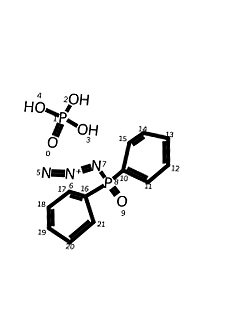 O=P(O)(O)O.[N-]=[N+]=NP(=O)(c1ccccc1)c1ccccc1